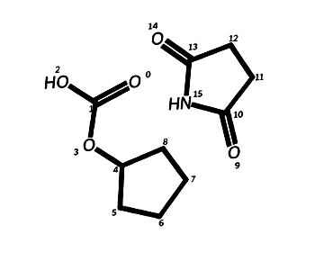 O=C(O)OC1CCCC1.O=C1CCC(=O)N1